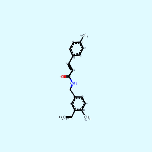 C=Cc1cc(CNC(=O)/C=C/c2ccc(C(F)(F)F)cc2)ccc1C